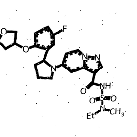 CCN(C)S(=O)(=O)NC(=O)c1cnn2ccc(N3CCCC3c3cc(F)ccc3OC3CCOC3)cc12